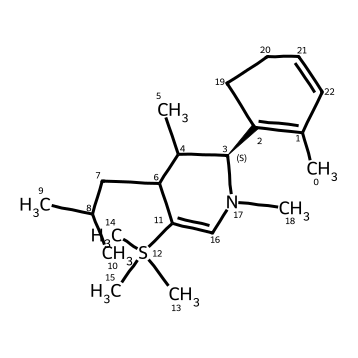 CC1=C([C@@H]2C(C)C(CC(C)C)C(S(C)(C)C)=CN2C)CCC=C1